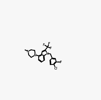 CN1CCN(c2cccc3c2cc(C(F)(F)F)n3Cc2ccc(Cl)c(F)c2)CC1